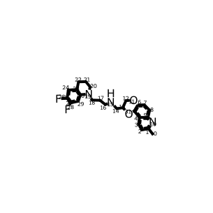 Cc1ccc2c3c(ccc2n1)OCC(CNCCCN1CCCc2cc(F)c(F)cc21)O3